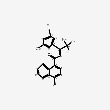 Cc1ccc(C(=O)/C=C(\c2cc(Cl)cc(Cl)c2)C(F)(F)F)c2ccccc12